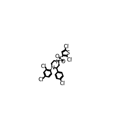 O=S(=O)(c1cc(Cl)sc1Cl)N1CCN(c2ccc(Cl)cc2Cl)C(c2ccc(Cl)cc2)C1